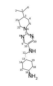 CC(C)C1CCN(c2ncc(NC[C@H]3CC[C@H](N)CC3)cn2)CC1